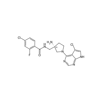 N[C@]1(CNC(=O)c2ccc(Cl)cc2F)CCN(c2ncnc3[nH]cc(Cl)c23)C1